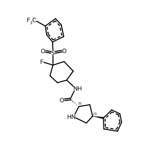 O=C(NC1CCC(F)(S(=O)(=O)c2cccc(C(F)(F)F)c2)CC1)[C@@H]1C[C@@H](c2ccccc2)CN1